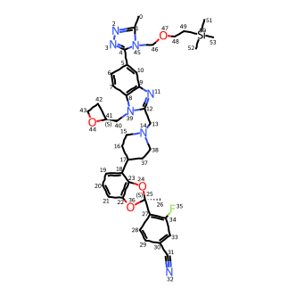 Cc1nnc(-c2ccc3c(c2)nc(CN2CCC(c4cccc5c4O[C@@](C)(c4ccc(C#N)cc4F)O5)CC2)n3C[C@@H]2CCO2)n1COCC[Si](C)(C)C